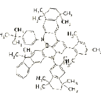 Cc1cc(C)c(-c2cc3c4c(c2)N(c2cc5c(cc2C)C(C)(C)CCC5(C)C)c2cc5c(cc2B4N(c2ccc(C(C)(C)C)cc2)c2cc4c(cc2-3)C(C)(C)CCC4(C)C)C(C)(C)c2ccccc2-5)c(C)c1